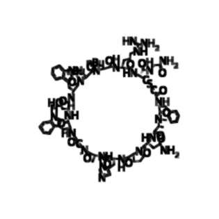 CCCC[C@H]1C(=O)N(C)[C@@H](CCCC)C(=O)N[C@@H](CCCNC(=N)N)C(=O)N[C@H](C(=O)NCC(N)=O)CSCC(=O)N[C@@H](Cc2ccccc2)C(=O)N(C)[C@@H](C)C(=O)N[C@@H](CC(N)=O)C(=O)N2CCCC2C(=O)N[C@@H](Cc2cnc[nH]2)C(=O)N[C@@H](C)C(=O)N(C)CC(=O)N[C@@H](Cc2c[nH]c3ccccc23)C(=O)N[C@@H](CO)C(=O)N[C@@H](Cc2c[nH]c3ccccc23)C(=O)N1C